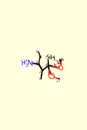 CCC(N)C(C)C([SiH3])(OC)OC